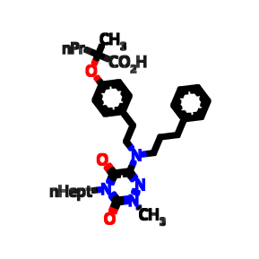 CCCCCCCn1c(=O)c(N(CCCc2ccccc2)CCc2ccc(OC(C)(CCC)C(=O)O)cc2)nn(C)c1=O